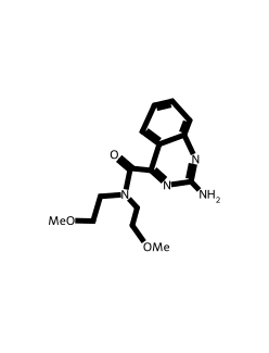 COCCN(CCOC)C(=O)c1nc(N)nc2ccccc12